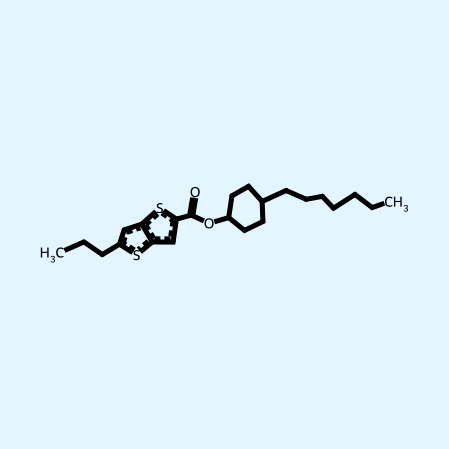 CCCCCCCC1CCC(OC(=O)c2cc3sc(CCC)cc3s2)CC1